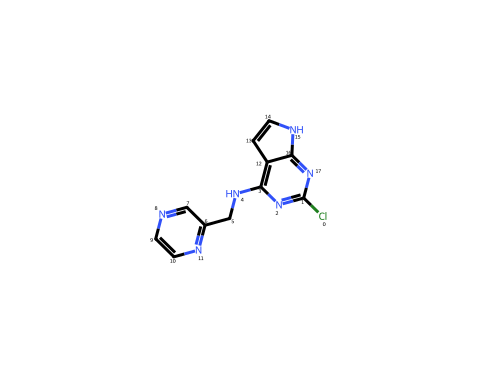 Clc1nc(NCc2cnccn2)c2cc[nH]c2n1